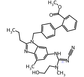 CCCc1nc2c(C)cc(N/C(=N\C#N)N(C)CCO)cc2n1Cc1ccc(-c2ccccc2C(=O)OC)cc1